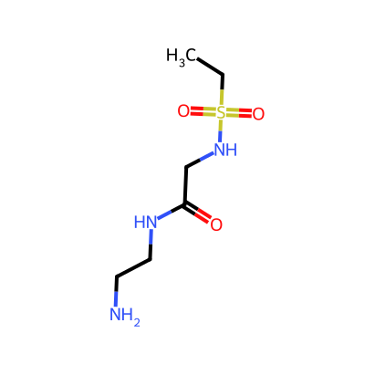 CCS(=O)(=O)NCC(=O)NCCN